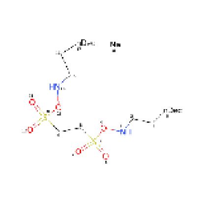 CCCCCCCCCCCCNOS(=O)(=O)CCS(=O)(=O)ONCCCCCCCCCCCC.[Na]